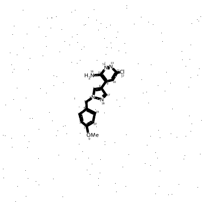 COc1ccc(Cn2cc(-c3cc(Cl)nnc3N)cn2)cc1